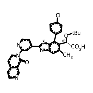 Cc1cc2nc(-c3ccnc(-n4ccc5ccncc5c4=O)c3)sc2c(-c2ccc(Cl)cc2)c1[C@H](OC(C)(C)C)C(=O)O